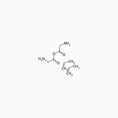 C=CC.C=CC.NCC(=O)OC(=O)CN